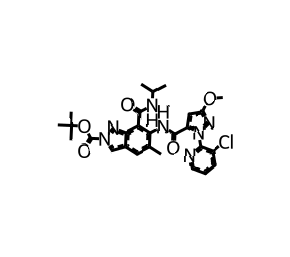 COc1cc(C(=O)Nc2c(C)cc3cn(C(=O)OC(C)(C)C)nc3c2C(=O)NC(C)C)n(-c2ncccc2Cl)n1